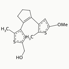 COc1cc(C2=C(c3cc(CO)sc3C)CCC2)c(C)s1